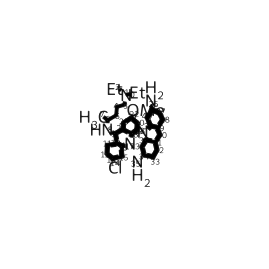 CCN(CC)CCCC(C)Nc1c2ccc(Cl)cc2nc2ccc(OC)cc12.Nc1ccc2cc3ccc(N)cc3nc2c1